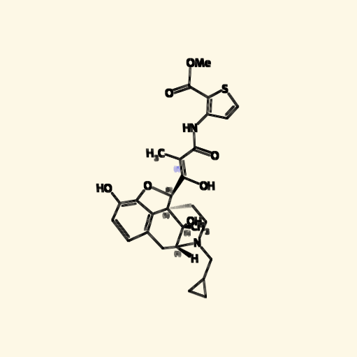 COC(=O)c1sccc1NC(=O)/C(C)=C(\O)[C@@H]1Oc2c(O)ccc3c2[C@@]12CCN(CC1CC1)[C@H](C3)[C@@]2(C)O